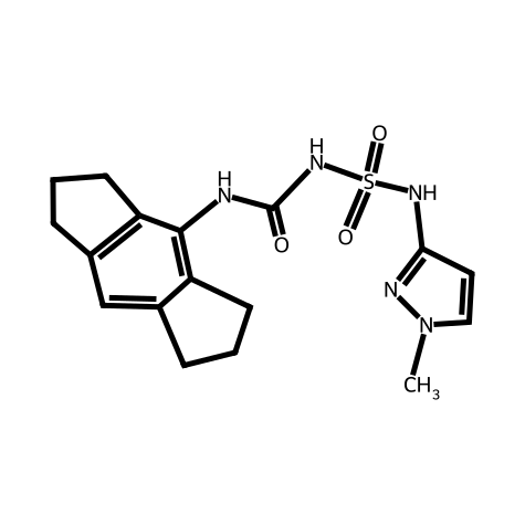 Cn1ccc(NS(=O)(=O)NC(=O)Nc2c3c(cc4c2CCC4)CCC3)n1